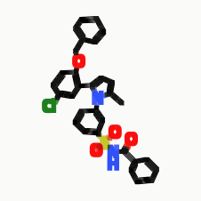 Cc1ccc(-c2cc(Cl)ccc2OCc2ccccc2)n1-c1cccc(S(=O)(=O)NC(=O)c2ccccc2)c1